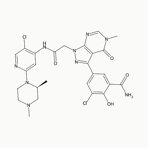 C[C@H]1CN(C)CCN1c1cc(NC(=O)Cn2nc(-c3cc(Cl)c(O)c(C(N)=O)c3)c3c(=O)n(C)cnc32)c(Cl)cn1